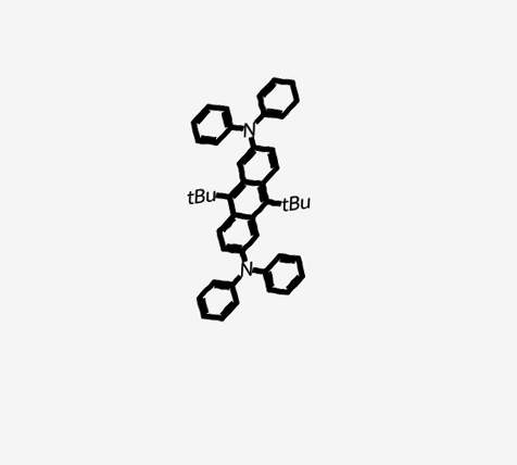 CC(C)(C)c1c2ccc(N(c3ccccc3)c3ccccc3)cc2c(C(C)(C)C)c2ccc(N(C3=CCCC=C3)c3ccccc3)cc12